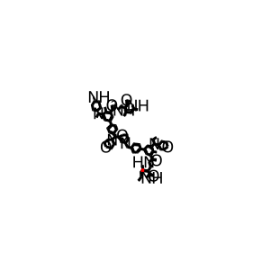 CCN(c1cc(-c2ccc(CN3CCOC(C(c4ccc(-c5cc(C(=O)NCc6c(C)cc(C)[nH]c6=O)c(C)c(N(C)[C@H]6CC[C@H](N)CC6)c5)cc4)N4CCOCC4)C3)cc2)cc(C(=O)NCc2c(C)cc(C)[nH]c2=O)c1C)C1CCOCC1